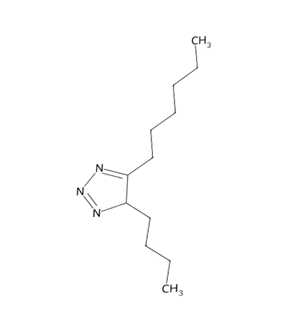 CCCCCCC1=NN=NC1CCCC